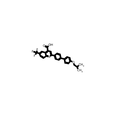 CC(C)COc1ccc(-c2ccc(-c3cc(C(=O)O)c4cc(C(F)(F)F)ccc4n3)cc2)cc1